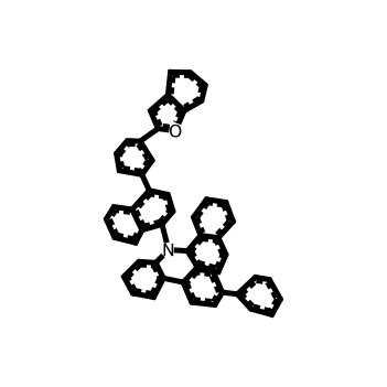 c1ccc(-c2ccc(-c3ccccc3N(c3cccc4ccccc34)c3ccc(-c4cccc(-c5cc6ccccc6o5)c4)c4ccccc34)cc2)cc1